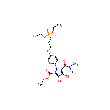 CCOC(=O)c1c(O)c(O)c(C(=O)N(C)C)n1-c1ccc(OCCCP(=O)(OCC)OCC)cc1